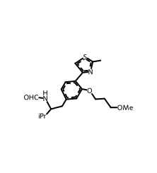 COCCCOc1cc(CC(NC=O)C(C)C)ccc1-c1csc(C)n1